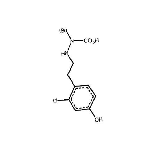 CC(C)(C)N(NCCc1ccc(O)cc1Cl)C(=O)O